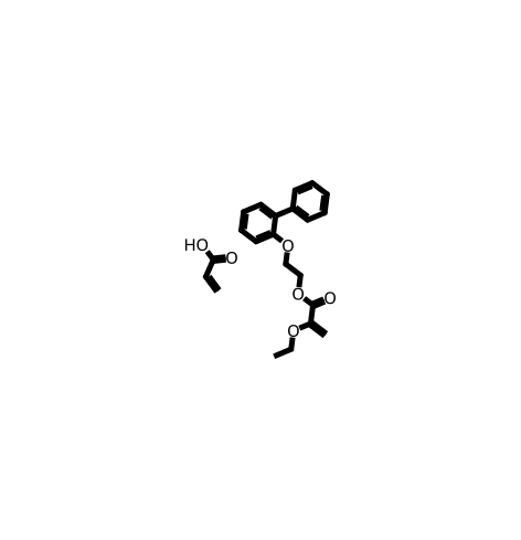 C=C(OCC)C(=O)OCCOc1ccccc1-c1ccccc1.C=CC(=O)O